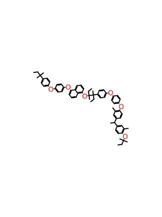 CCC(C)(C)Oc1ccc(C(C)c2ccc(Oc3ccc(Oc4ccc(C(C)(CC)C(C)(CC)Oc5cccc6c(Oc7ccc(Oc8ccc(C(C)(C)CC)cc8)cc7)cccc56)cc4)cc3)c(C)c2)cc1C